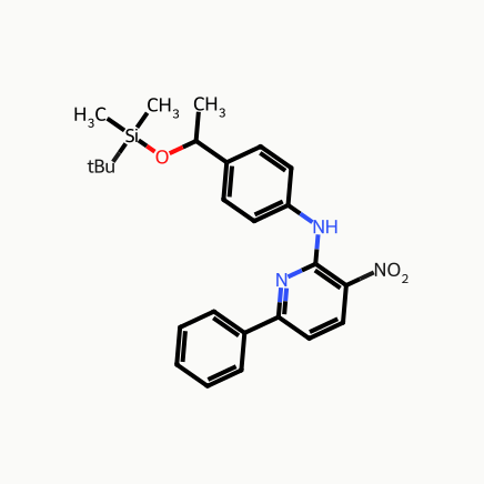 CC(O[Si](C)(C)C(C)(C)C)c1ccc(Nc2nc(-c3ccccc3)ccc2[N+](=O)[O-])cc1